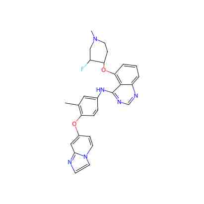 Cc1cc(Nc2ncnc3cccc(OC4CCN(C)CC4F)c23)ccc1Oc1ccn2ccnc2c1